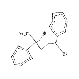 CCC(CC(C)(Br)c1ccccc1)c1ccccc1